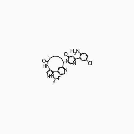 C[C@@H]1CCC[C@H](n2cnc(-c3cc(Cl)ccc3N)cc2=O)c2cc(ccn2)-c2c(cnn2C(F)F)NC1=O